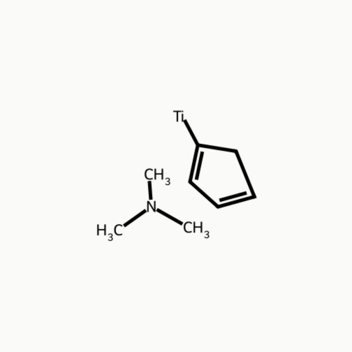 CN(C)C.[Ti][C]1=CC=CC1